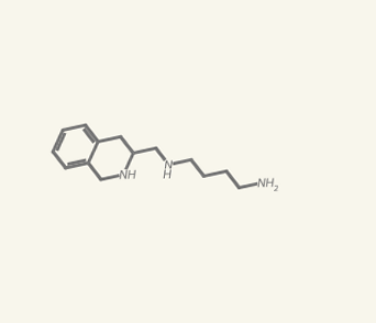 NCCCCNCC1Cc2ccccc2CN1